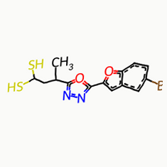 CC(CC(S)S)c1nnc(-c2cc3cc(Br)ccc3o2)o1